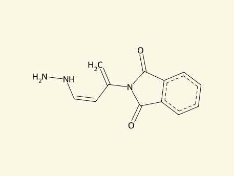 C=C(/C=C\NN)N1C(=O)c2ccccc2C1=O